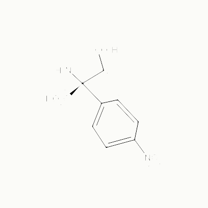 N[C@@](CC(=O)O)(C(=O)O)c1ccc([N+](=O)[O-])cc1